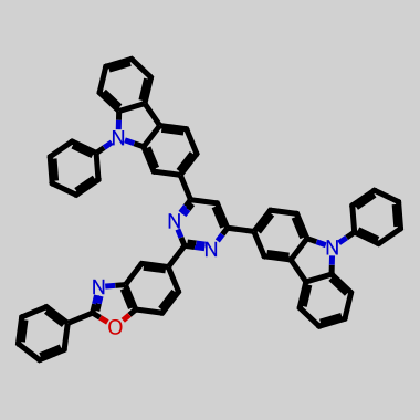 c1ccc(-c2nc3cc(-c4nc(-c5ccc6c(c5)c5ccccc5n6-c5ccccc5)cc(-c5ccc6c7ccccc7n(-c7ccccc7)c6c5)n4)ccc3o2)cc1